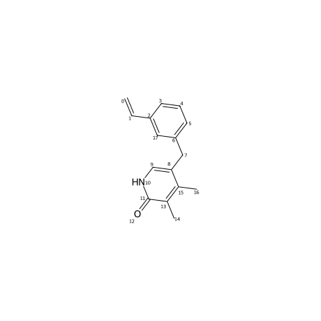 C=Cc1cccc(Cc2c[nH]c(=O)c(C)c2C)c1